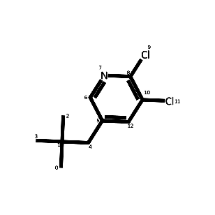 CC(C)(C)Cc1cnc(Cl)c(Cl)c1